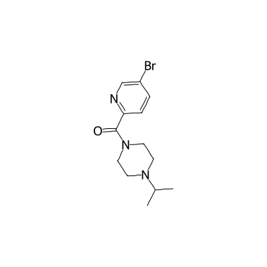 CC(C)N1CCN(C(=O)c2ccc(Br)cn2)CC1